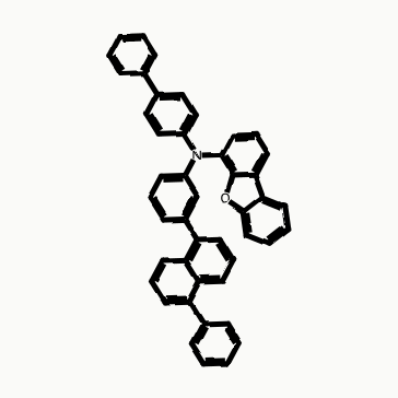 c1ccc(-c2ccc(N(c3cccc(-c4cccc5c(-c6ccccc6)cccc45)c3)c3cccc4c3oc3ccccc34)cc2)cc1